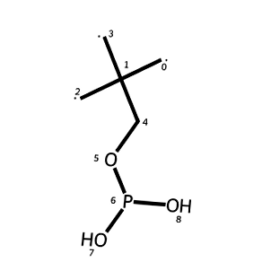 [CH2]C([CH2])([CH2])COP(O)O